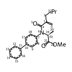 C=C(CC(C)C)C(=O)N(c1ccc(-c2ccccc2)cc1)[C@@H](C)C(=O)OC